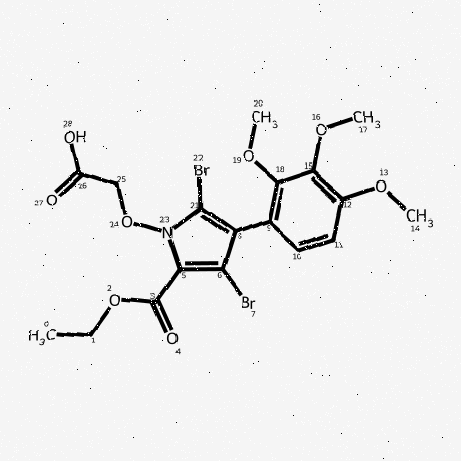 CCOC(=O)c1c(Br)c(-c2ccc(OC)c(OC)c2OC)c(Br)n1OCC(=O)O